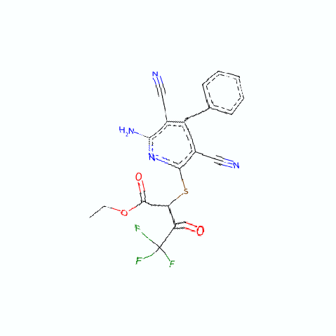 CCOC(=O)C(Sc1nc(N)c(C#N)c(-c2ccccc2)c1C#N)C(=O)C(F)(F)F